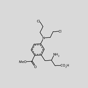 COC(=O)c1ccc(N(CCCl)CCCl)cc1CC(N)CC(=O)O